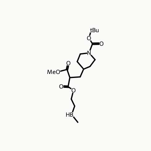 CBCCOC(=O)C(CC1CCN(C(=O)OC(C)(C)C)CC1)C(=O)OC